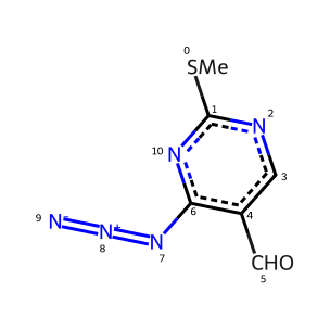 CSc1ncc(C=O)c(N=[N+]=[N-])n1